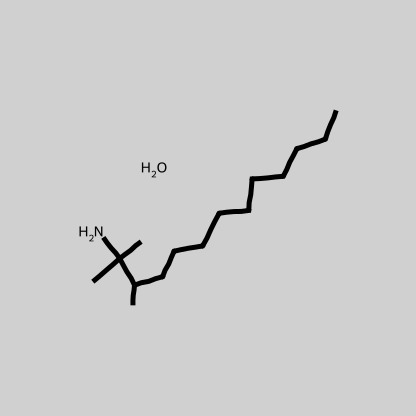 CCCCCCCCCCC(C)C(C)(C)N.O